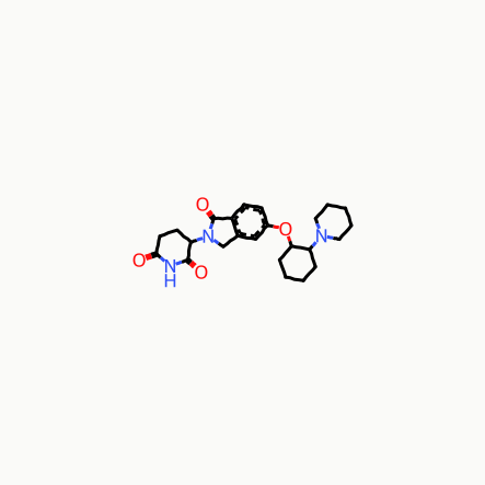 O=C1CCC(N2Cc3cc(OC4CCCCC4N4CCCCC4)ccc3C2=O)C(=O)N1